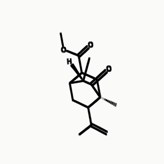 C=C(C)C1CC2C(C(=O)OC)C[C@]1(C)C(=O)[C@H]2C